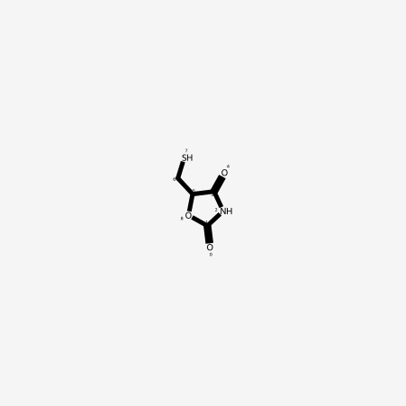 O=C1NC(=O)C(CS)O1